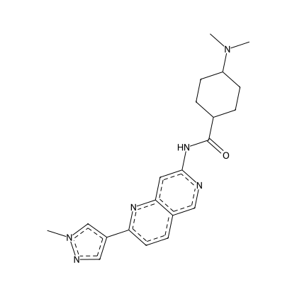 CN(C)C1CCC(C(=O)Nc2cc3nc(-c4cnn(C)c4)ccc3cn2)CC1